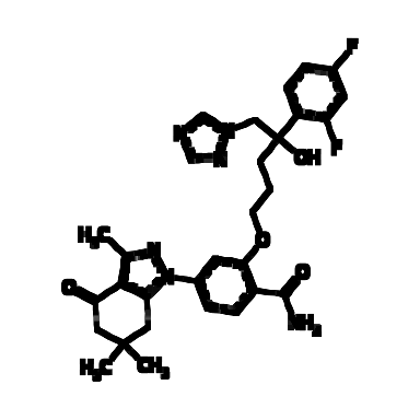 Cc1nn(-c2ccc(C(N)=O)c(OCCCC(O)(Cn3cncn3)c3ccc(F)cc3F)c2)c2c1C(=O)CC(C)(C)C2